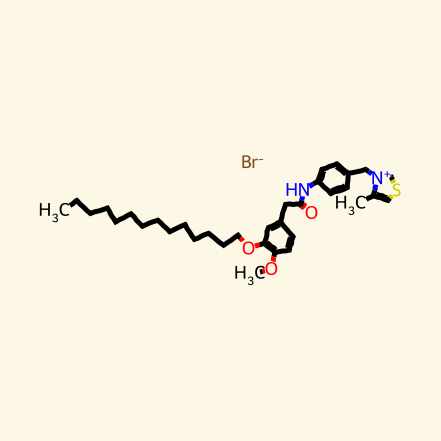 CCCCCCCCCCCCCCOc1cc(CC(=O)Nc2ccc(C[n+]3cscc3C)cc2)ccc1OC.[Br-]